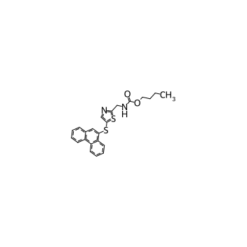 CCCCOC(=O)NCc1ncc(Sc2cc3ccccc3c3ccccc23)s1